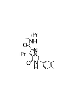 Cc1ccc(-c2cn3nc(C(=O)N[C@H](C)C(C)C)c(C(C)C)c3c(=O)[nH]2)cc1C